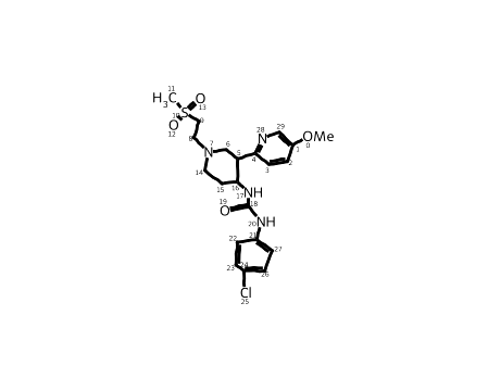 COc1ccc(C2CN(CCS(C)(=O)=O)CCC2NC(=O)Nc2ccc(Cl)cc2)nc1